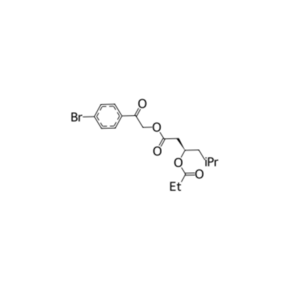 CCC(=O)O[C@@H](CC(=O)OCC(=O)c1ccc(Br)cc1)CC(C)C